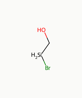 OC[SiH2]Br